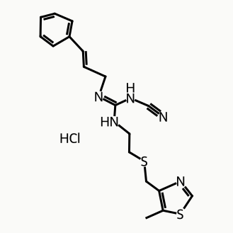 Cc1scnc1CSCCN/C(=N/C/C=C/c1ccccc1)NC#N.Cl